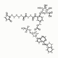 NS(=O)(=O)OC[C@@H]1C[C@@H](n2ccc3c(N[C@H]4CCc5ccccc54)ncnc32)C[C@H]1OC(=O)OCc1ccc(O[C@@H]2O[C@H](C(=O)O)[C@@H](O)[C@H](O)[C@H]2O)c(NC(=O)CCNC(=O)CCCCCN2C(=O)C=CC2=O)c1